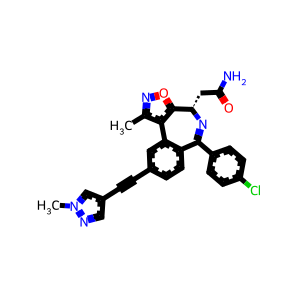 Cc1noc2c1-c1cc(C#Cc3cnn(C)c3)ccc1C(c1ccc(Cl)cc1)=N[C@H]2CC(N)=O